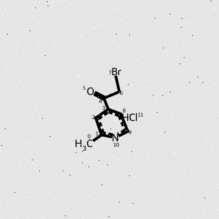 Cc1cc(C(=O)CBr)ccn1.Cl